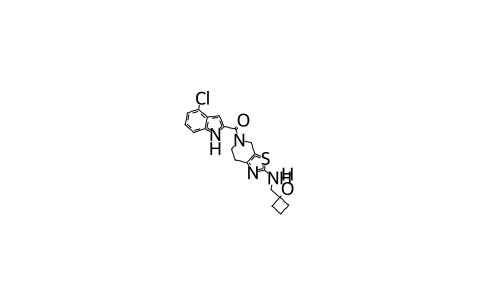 O=C(c1cc2c(Cl)cccc2[nH]1)N1CCc2nc(NCC3(O)CCC3)sc2C1